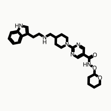 O=C(NOC1CCCCO1)c1cnc(N2CCC(CNCCc3c[nH]c4ccccc34)CC2)nc1